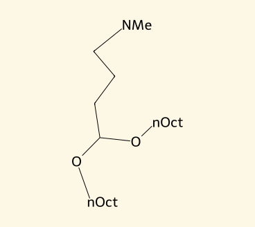 CCCCCCCCOC(CCCNC)OCCCCCCCC